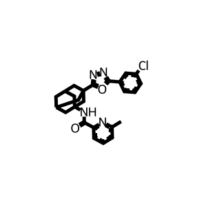 Cc1cccc(C(=O)NC23CC4CC(C2)CC(c2nnc(-c5cccc(Cl)c5)o2)(C4)C3)n1